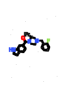 CC(C)[C@H]1CN(Cc2ccccc2F)CCN1C(=O)c1ccc2cc[nH]c2c1